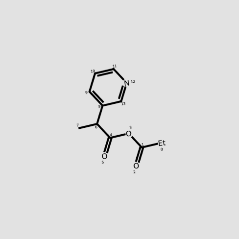 CCC(=O)OC(=O)C(C)c1cccnc1